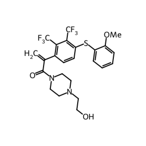 C=C(C(=O)N1CCN(CCO)CC1)c1ccc(Sc2ccccc2OC)c(C(F)(F)F)c1C(F)(F)F